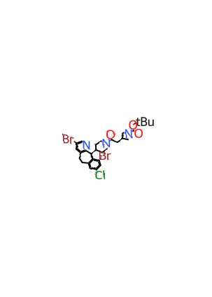 CC(C)(C)OC(=O)N1CC(CC(=O)N2CCC(C3c4ncc(Br)cc4CCc4cc(Cl)cc(Br)c43)CC2)C1